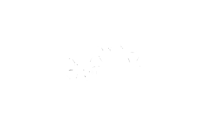 O=C(c1ccc(NS(=O)(=O)c2cccc3c2N=CCC3)c(OC(F)(F)F)c1)N1CCN(Cc2ccc(F)cc2)CC1